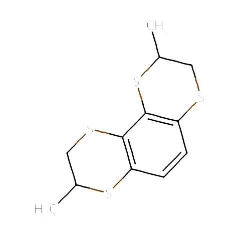 CC1CSc2c(ccc3c2SC(C)CS3)S1